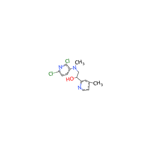 Cc1ccnc(C(O)CN(C)c2ccc(Cl)nc2Cl)c1